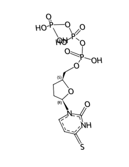 O=c1[nH]c(=S)ccn1[C@H]1CC[C@@H](COP(=O)(O)OP(=O)(O)OP(=O)(O)O)O1